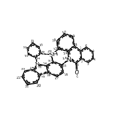 O=c1c2ccccc2c2cccc3c2n1-c1ccc2c4ccccc4n4c2c1[SH]3c1ccccc1-4